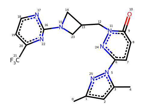 Cc1cc(C)n(-c2ccc(=O)n(CC3CN(c4nccc(C(F)(F)F)n4)C3)n2)n1